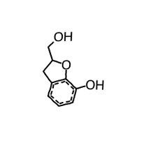 OCC1Cc2cccc(O)c2O1